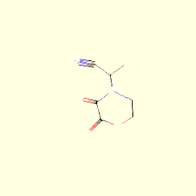 CC(C#N)N1CCOC(=O)C1=O